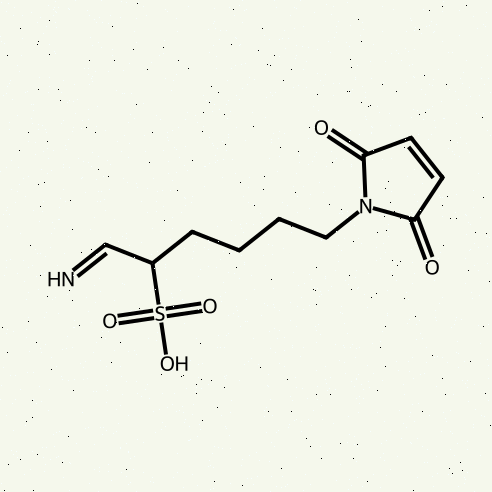 N=CC(CCCCN1C(=O)C=CC1=O)S(=O)(=O)O